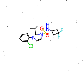 CC(C)C1N(c2ccccc2Cl)C=CN1S(=O)(=O)NC1CC(F)(F)C1